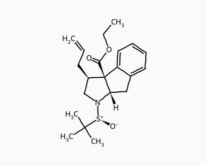 C=CC[C@@H]1CN([S@@+]([O-])C(C)(C)C)[C@H]2Cc3ccccc3[C@@]12C(=O)OCC